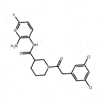 Nc1nc(F)ccc1NC(=O)C1CCCN(C(=O)Cc2cc(Cl)cc(Cl)c2)C1